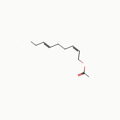 CC/C=C/CC/C=C\COC(C)=O